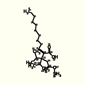 CCCCCCCCC=C(C(=O)O)C(CC(=O)O[SiH3])(C(C)C)C(C)C